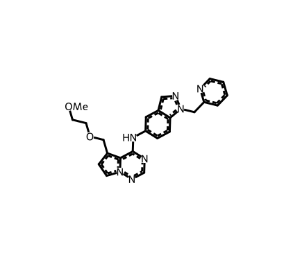 COCCOCc1ccn2ncnc(Nc3ccc4c(cnn4Cc4ccccn4)c3)c12